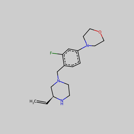 C=C[C@H]1CN(Cc2ccc(N3CCOCC3)cc2F)CCN1